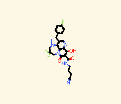 N#CCCCNC(=O)c1c(O)c2ncc(Cc3ccc(F)cc3)c3c2n(c1=O)CC(F)(F)CN3